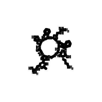 CC(=O)N[C@@H](CCCNC(=N)N)C(=O)N[C@H]1CSSC[C@@H](C(=O)N[C@@H](CCCCN)C(=O)O)NC(=O)[C@H](Cc2c[nH]c3ccccc23)NC(=O)[C@H](CCCNC(=N)N)NC(=O)[C@@H](Cc2ccccc2)NC(=O)[C@H](Cc2c[nH]cn2)NC(=O)[C@@H](C)NC1=O